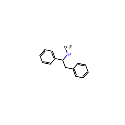 CCOC(=O)NC(Cc1ccccc1)c1ccccc1